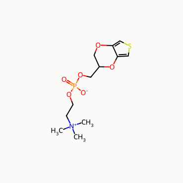 C[N+](C)(C)CCOP(=O)([O-])OCC1COc2cscc2O1